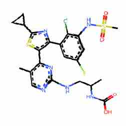 Cc1cnc(NCC(C)NC(=O)O)nc1-c1sc(C2CC2)nc1-c1cc(F)cc(NS(C)(=O)=O)c1Cl